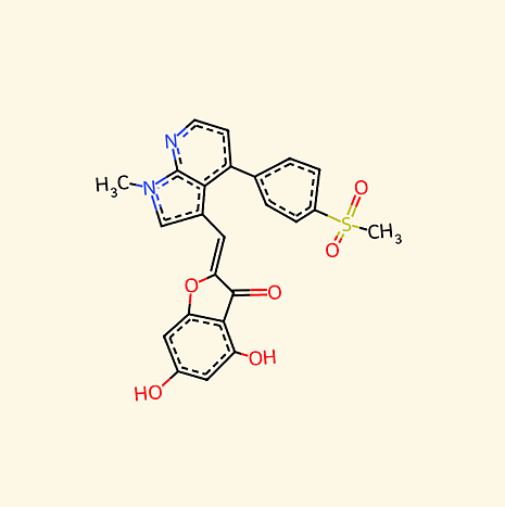 Cn1cc(C=C2Oc3cc(O)cc(O)c3C2=O)c2c(-c3ccc(S(C)(=O)=O)cc3)ccnc21